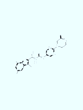 Cc1c([C@H](NC(=O)Nc2cnc(N3CCNC(=O)C3)nc2)C(F)(F)F)oc2c(F)cc(F)cc12